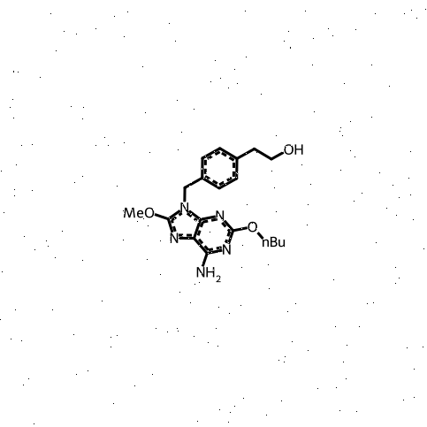 CCCCOc1nc(N)c2nc(OC)n(Cc3ccc(CCO)cc3)c2n1